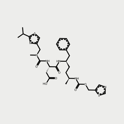 CC(C)c1nc(CN(C)C(=O)N[C@@H](CC(=O)O)C(=O)N[C@H](CC[C@H](C)NC(=O)OCc2cncs2)Cc2ccccc2)cs1